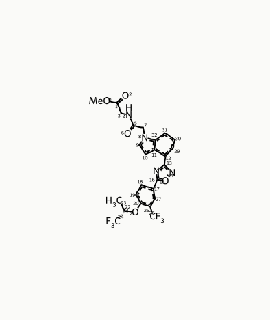 COC(=O)CNC(=O)Cn1ccc2c(-c3noc(-c4ccc(O[C@@H](C)C(F)(F)F)c(C(F)(F)F)c4)n3)cccc21